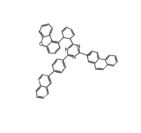 C1=CC(c2nc(-c3ccc(-c4ccc5ccccc5c4)cc3)nc(-c3ccc4c(ccc5ccccc54)c3)n2)C(c2cccc3oc4ccccc4c23)C=C1